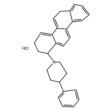 C1=c2c(ccc3c2=CCCC3N2CCC(c3ccccc3)CC2)-c2ccccc2C1.Cl